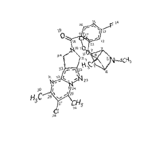 COC1CC2N(C)C1C2(C)Oc1cc(F)ccc1C(=O)N1Cc2nn3c(C)c(Cl)c(C)nc3c2C1